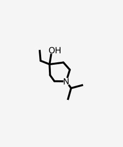 CCC1(O)CCN(C(C)C)CC1